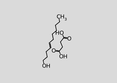 CCCCCCC=CCCCO.O=C(O)CCC(=O)O